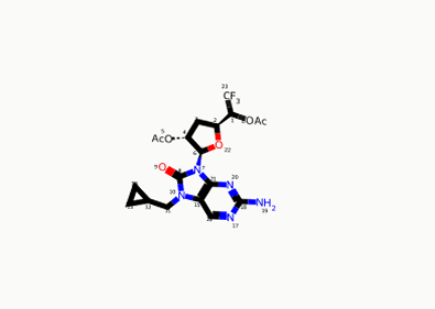 CC(=O)OC([C@@H]1C[C@@H](OC(C)=O)[C@H](n2c(=O)n(CC3CC3)c3cnc(N)nc32)O1)C(F)(F)F